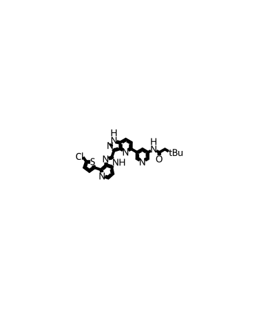 CC(C)(C)CC(=O)Nc1cncc(-c2ccc3[nH]nc(-c4nc5c(-c6ccc(Cl)s6)nccc5[nH]4)c3n2)c1